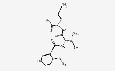 CC(C)CN1CCNC[C@H]1C(=O)N[C@H](C(=O)N[C@@H](CCN)C(=O)C(C)C)[C@H](C)O